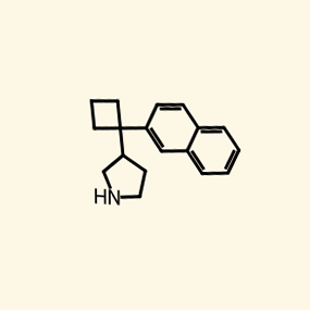 c1ccc2cc(C3(C4CCNC4)CCC3)ccc2c1